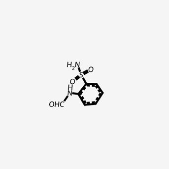 NS(=O)(=O)c1ccccc1NC=O